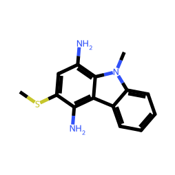 CSc1cc(N)c2c(c1N)c1ccccc1n2C